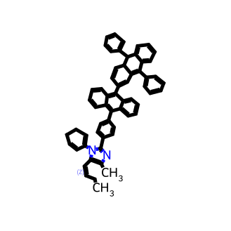 CC/C=C\c1c(C)nc(-c2ccc(-c3c4ccccc4c(C4=CC5=C(c6ccccc6)c6ccccc6C(c6ccccc6)C5C=C4)c4ccccc34)cc2)n1C1=CCCC=C1